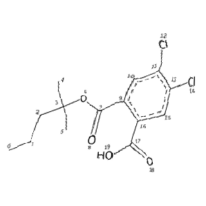 CCCC(C)(C)OC(=O)c1cc(Cl)c(Cl)cc1C(=O)O